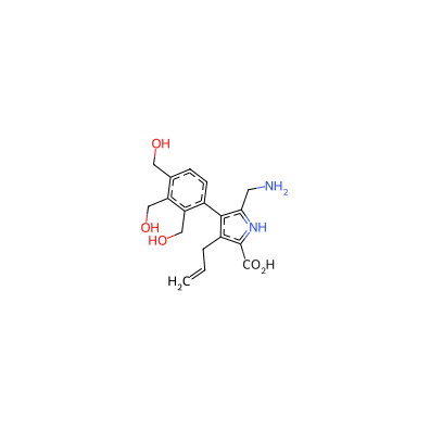 C=CCc1c(C(=O)O)[nH]c(CN)c1-c1ccc(CO)c(CO)c1CO